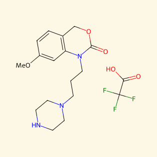 COc1ccc2c(c1)N(CCCN1CCNCC1)C(=O)OC2.O=C(O)C(F)(F)F